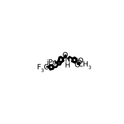 CC(C)n1c(Cc2ccc(C(F)(F)F)cc2)cc2cc(C(=O)NCc3ccc(S(C)(=O)=O)cc3)ccc21